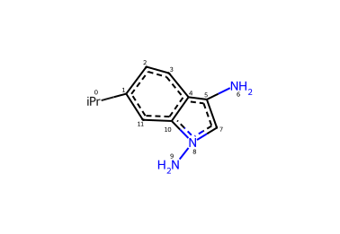 CC(C)c1ccc2c(N)cn(N)c2c1